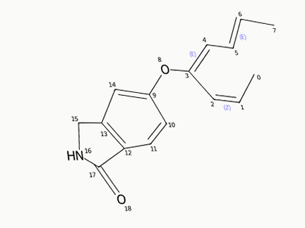 C\C=C/C(=C\C=C\C)Oc1ccc2c(c1)CNC2=O